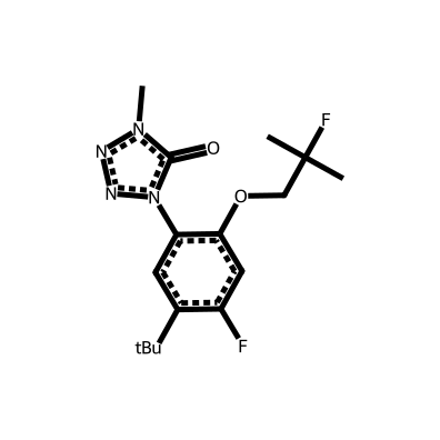 Cn1nnn(-c2cc(C(C)(C)C)c(F)cc2OCC(C)(C)F)c1=O